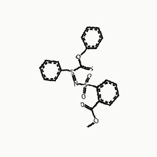 COC(=O)c1ccccc1S(=O)(=O)N=S(C(=S)Oc1ccccc1)c1ccccc1